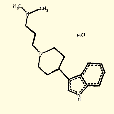 CN(C)CCCN1CCC(c2c[nH]c3ccccc23)CC1.Cl